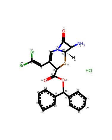 Cl.NC1C(=O)N2C=C(C=C(Br)Br)C(C(=O)OC(c3ccccc3)c3ccccc3)S[C@H]12